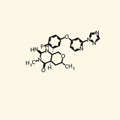 C[C@H]1C[C@H]2C(=O)N(C)C(=N)N[C@@]2(c2cc(Oc3ccnc(-n4cncn4)c3)ccc2F)CO1